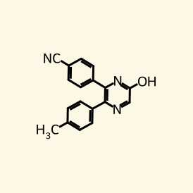 Cc1ccc(-c2ncc(O)nc2-c2ccc(C#N)cc2)cc1